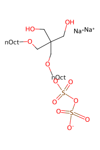 CCCCCCCCOCC(CO)(CO)COCCCCCCCC.O=S(=O)([O-])OS(=O)(=O)[O-].[Na+].[Na+]